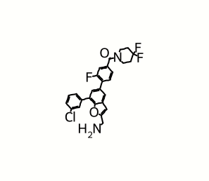 NCc1cc2cc(-c3ccc(C(=O)N4CCC(F)(F)CC4)cc3F)cc(-c3cccc(Cl)c3)c2o1